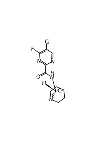 O=C(N[C@@H]1CC2CCN(CC2)C1)c1ncc(Cl)c(F)n1